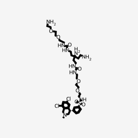 CN1Cc2c(Cl)cc(Cl)cc2[C@H](c2cccc(S(=O)(=O)NCCOCCOCCNC(=O)NCCC(N)(CCN)CCNC(=O)NCCOCCOCCN)c2)C1